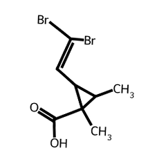 CC1C(C=C(Br)Br)C1(C)C(=O)O